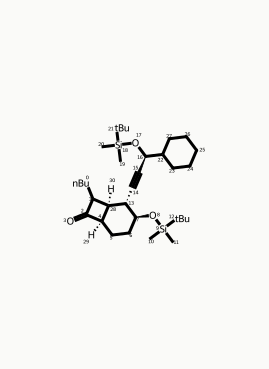 CCCCC1C(=O)[C@@H]2CC[C@H](O[Si](C)(C)C(C)(C)C)[C@@H](C#C[C@@H](O[Si](C)(C)C(C)(C)C)C3CCCCC3)[C@H]12